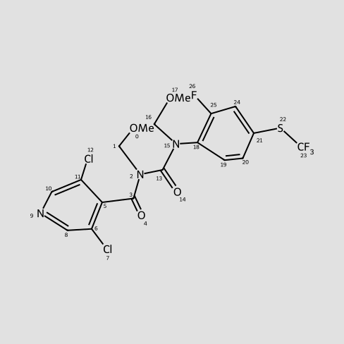 COCN(C(=O)c1c(Cl)cncc1Cl)C(=O)N(COC)c1ccc(SC(F)(F)F)cc1F